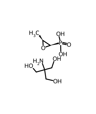 C[C@@H]1O[C@@H]1P(=O)(O)O.NC(CO)(CO)CO